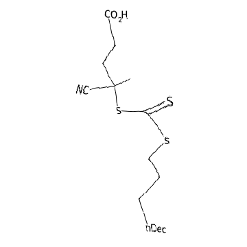 CCCCCCCCCCCCCSC(=S)SC(C)(C#N)CCC(=O)O